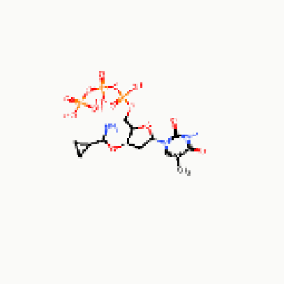 Cc1cn([C@H]2C[C@@H](OC(N)C3CC3)C(COP(=O)(O)OP(=O)(O)OP(=O)(O)O)O2)c(=O)[nH]c1=O